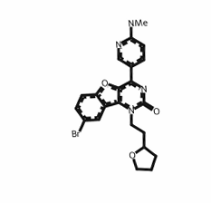 CNc1ccc(-c2nc(=O)n(CCC3CCCO3)c3c2oc2ccc(Br)cc23)cn1